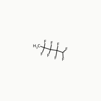 CC(F)(F)C(F)(F)C(F)(F)[C](F)F